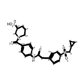 O=C(Cc1ccc(S(=O)(=O)CC2CC2)cc1)Nc1ccc(C(=O)N2CCCC(C(=O)O)C2)cc1